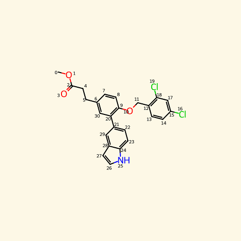 COC(=O)CCc1ccc(OCc2ccc(Cl)cc2Cl)c(-c2ccc3[nH]ccc3c2)c1